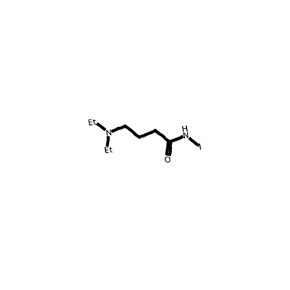 CCN(CC)CCCC(=O)NI